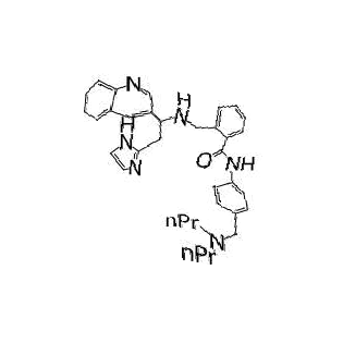 CCCN(CCC)Cc1ccc(NC(=O)c2ccccc2CNC(Cc2ncc[nH]2)c2cnc3ccccc3c2)cc1